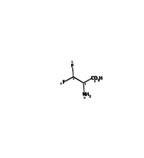 NC(C(=O)O)C(F)F